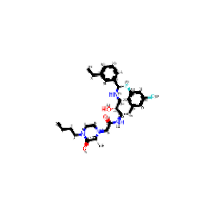 CCCCN1CCN(CC(=O)N[C@@H](Cc2cc(F)cc(F)c2)[C@H](O)CNCc2cccc(CC)c2)[C@H](C)C1=O